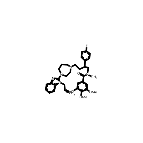 C=CCn1c(N2CCCN(CCC(CN(C)C(=O)c3cc(OC)c(OC)c(OC)c3)c3ccc(F)cc3)CC2)nc2ccccc21